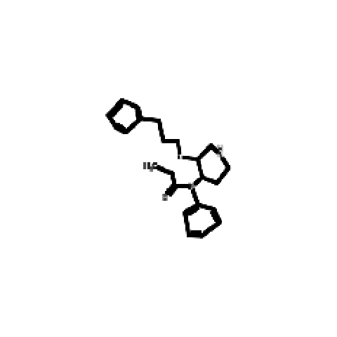 CCC(=O)N(c1ccccc1)C1CCNCC1OCCCc1ccccc1